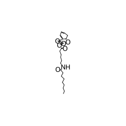 CCCCCCCCC(=O)NCCCCCC(=O)OS(=O)(=O)C1=CC=CCC1=O